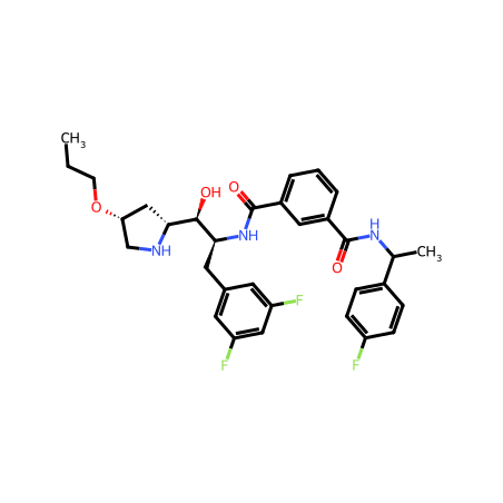 CCCO[C@H]1CN[C@@H]([C@@H](O)[C@H](Cc2cc(F)cc(F)c2)NC(=O)c2cccc(C(=O)NC(C)c3ccc(F)cc3)c2)C1